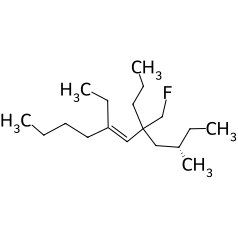 CCCC/C(=C/C(CF)(CCC)C[C@@H](C)CC)CC